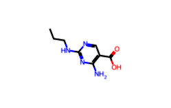 CCCNc1ncc(C(=O)O)c(N)n1